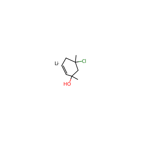 CC1(O)C=CCC(C)(Cl)C1.[Li]